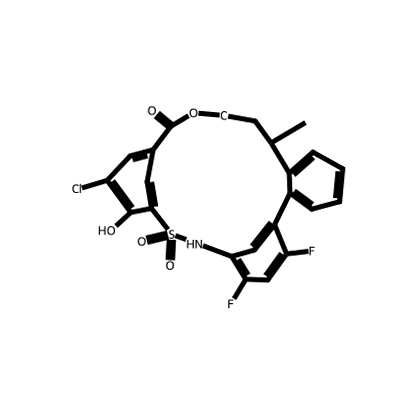 CC1CCOC(=O)c2cc(Cl)c(O)c(c2)S(=O)(=O)Nc2cc(c(F)cc2F)-c2ccccc21